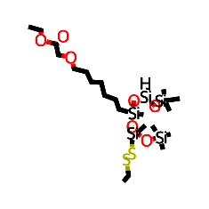 CCOC(=O)COCCCCCCC[Si](C)(O[SiH](C)O[Si](C)(C)C)O[Si](C)(CSSCC)O[Si](C)(C)C